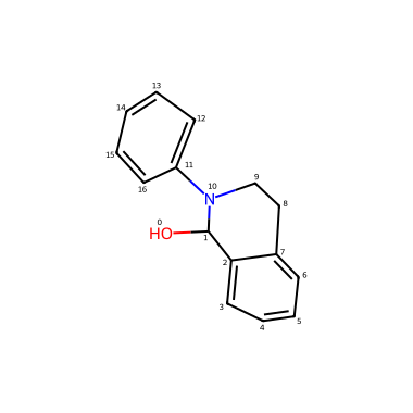 OC1c2ccccc2CCN1c1ccccc1